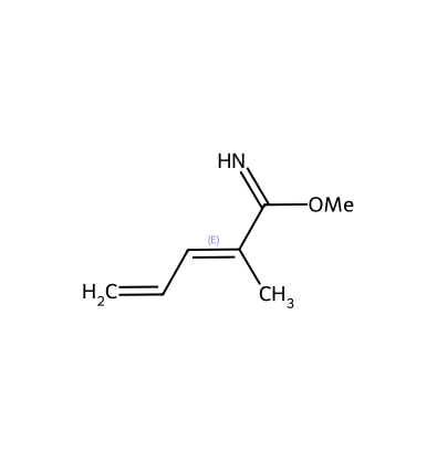 C=C/C=C(\C)C(=N)OC